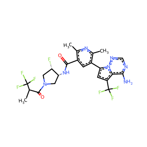 Cc1nc(C)c(-c2cc(C(F)(F)F)c3c(N)ncnn23)cc1C(=O)N[C@@H]1CN(C(=O)C(C)C(F)(F)F)C[C@@H]1F